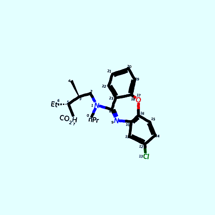 CCCN(C[C@H](C)[C@@H](CC)C(=O)O)C1=Nc2cc(Cl)ccc2Oc2ccccc21